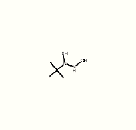 CC(C)(C)N(O)NO